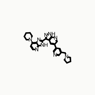 c1cc(N2CCCCC2)c2nc(-c3n[nH]c4ncc(-c5cncc(CN6CCCC6)c5)cc34)[nH]c2n1